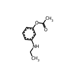 CCNc1cccc(OC(C)=O)c1